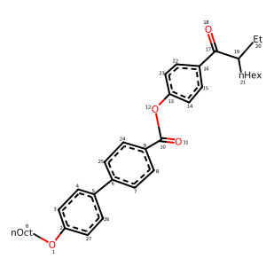 CCCCCCCCOc1ccc(-c2ccc(C(=O)Oc3ccc(C(=O)C(CC)CCCCCC)cc3)cc2)cc1